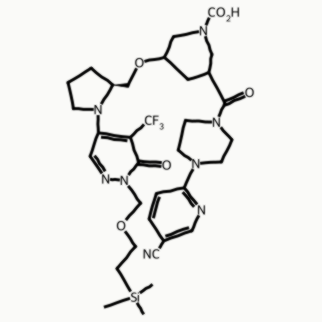 C[Si](C)(C)CCOCn1ncc(N2CCC[C@H]2COC2CC(C(=O)N3CCN(c4ccc(C#N)cn4)CC3)CN(C(=O)O)C2)c(C(F)(F)F)c1=O